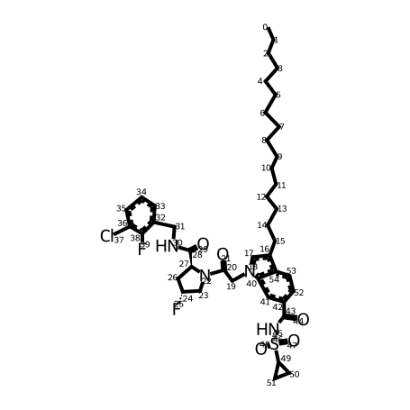 CCCCCCCCCCCCCCCCc1cn(CC(=O)N2C[C@H](F)C[C@H]2C(=O)NCc2cccc(Cl)c2F)c2cc(C(=O)NS(=O)(=O)C3CC3)ccc12